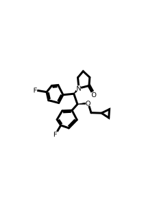 O=C1CCCN1[C@H](c1ccc(F)cc1)[C@@H](OCC1CC1)c1ccc(F)cc1